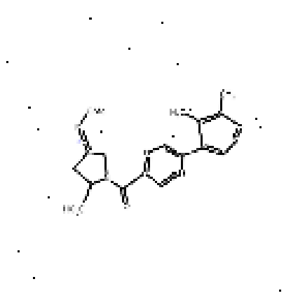 CO/N=C1/CC(C(=O)O)N(C(=O)c2cnc(-c3cccc(C)c3C)cn2)C1